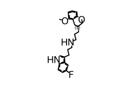 COc1cccc2c1C[C@H](CCCNCCCc1c[nH]c3ccc(F)cc13)CO2